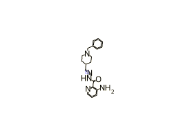 Nc1cccnc1C(=O)N/N=C/C1CCN(Cc2ccccc2)CC1